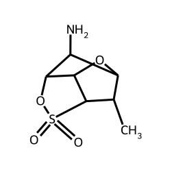 CC1C2OC3C(OS(=O)(=O)C13)C2N